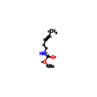 CC#CCCNC(=O)OC(C)(C)C